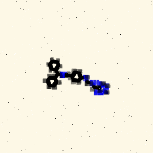 C(#[N+]C(c1ccccc1)c1ccccc1)c1ccc(N=CNCc2nnn[nH]2)cc1